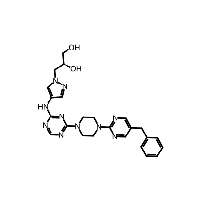 OC[C@@H](O)Cn1cc(Nc2ncnc(N3CCN(c4ncc(Cc5ccccc5)cn4)CC3)n2)cn1